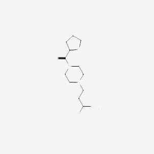 CC(C)CCN1CCN(C(=O)C2CCCO2)CC1